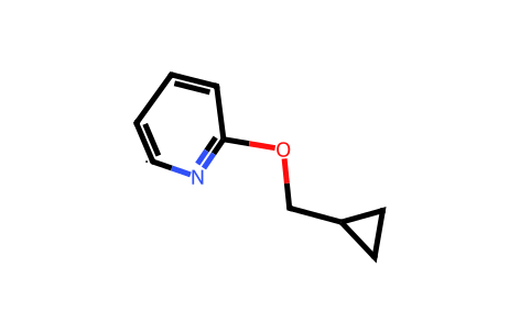 [c]1cccc(OCC2CC2)n1